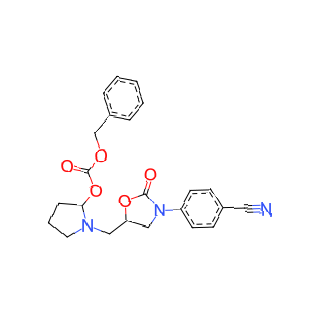 N#Cc1ccc(N2CC(CN3CCCC3OC(=O)OCc3ccccc3)OC2=O)cc1